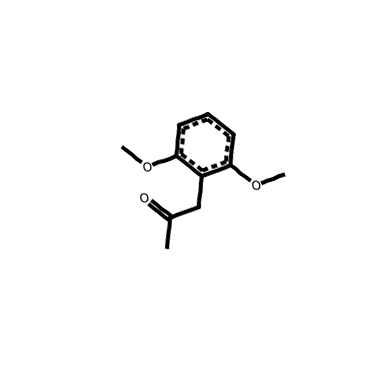 COc1cccc(OC)c1CC(C)=O